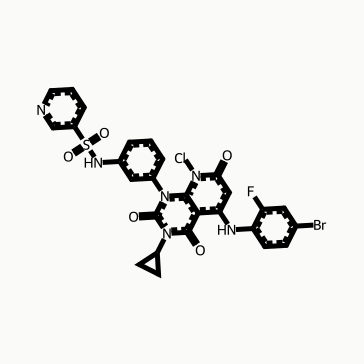 O=c1c2c(Nc3ccc(Br)cc3F)cc(=O)n(Cl)c2n(-c2cccc(NS(=O)(=O)c3cccnc3)c2)c(=O)n1C1CC1